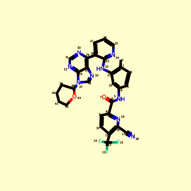 Cc1ccc(NC(=O)c2ccc(C(F)(F)F)c(C#N)n2)cc1Nc1ncccc1-c1ncnc2c1ncn2C1CCCCO1